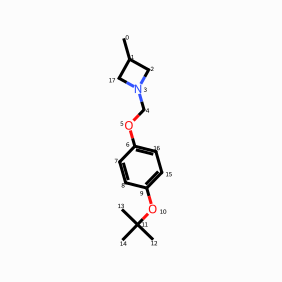 CC1CN(COc2ccc(OC(C)(C)C)cc2)C1